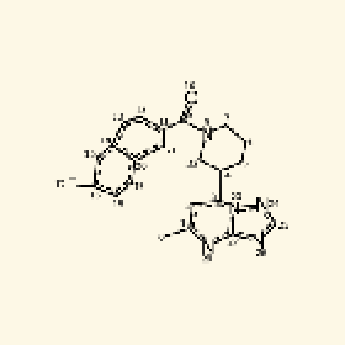 Cc1cc(C2CCCN(C(=O)c3ccc4cc(F)ccc4c3)C2)n2ncnc2n1